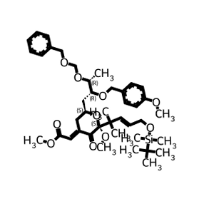 COC(=O)C=C1C[C@@H](C[C@@H](OCc2ccc(OC)cc2)[C@@H](C)OCOCc2ccccc2)O[C@@](OC)(C(C)(C)C=CCO[Si](C)(C)C(C)(C)C)C1=O